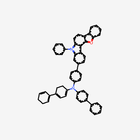 C1=CC(C2=CC=C(N(c3ccc(-c4ccccc4)cc3)c3ccc(-c4ccc5c6c7oc8ccccc8c7ccc6n(-c6ccccc6)c5c4)cc3)CC2)=CCC1